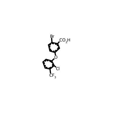 O=C(O)c1cc(Oc2cccc(C(F)(F)F)c2Cl)ccc1Br